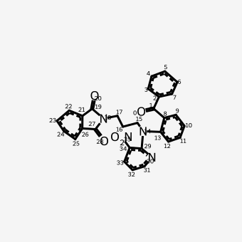 O=C(c1ccccc1)c1ccccc1N(CCCN1C(=O)c2ccccc2C1=O)c1ncccc1[N+](=O)[O-]